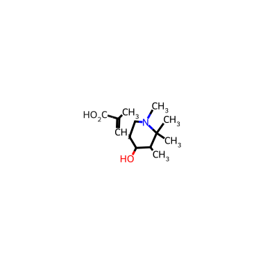 C=C(C)C(=O)O.CC1C(O)CCN(C)C1(C)C